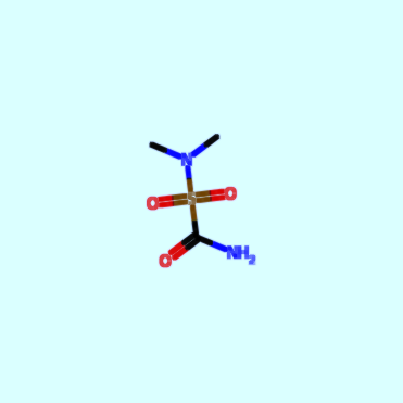 CN(C)S(=O)(=O)C(N)=O